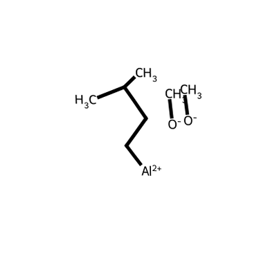 CC(C)C[CH2][Al+2].C[O-].C[O-]